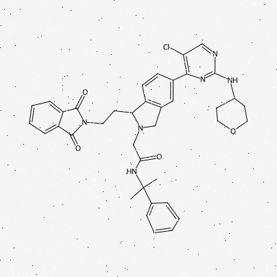 CC(C)(NC(=O)CN1Cc2cc(-c3nc(NC4CCOCC4)ncc3Cl)ccc2C1CCN1C(=O)c2ccccc2C1=O)c1ccccc1